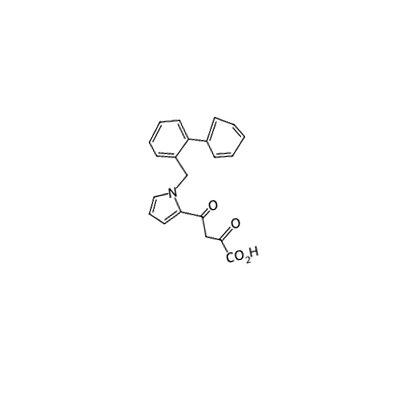 O=C(O)C(=O)CC(=O)c1cccn1Cc1ccccc1-c1ccccc1